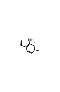 C=CC1=C(N)CC(C)C=C1